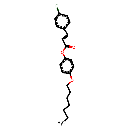 CCCCCCCOc1ccc(OC(=O)/C=C/c2ccc(F)cc2)cc1